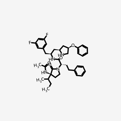 CCC(C)[C@@]1(NC(C)=O)CCN([C@@H](CCc2ccccc2)C(=O)N[C@@H](Cc2cc(F)cc(F)c2)C[C@H]2C[C@@H](Oc3ccccc3)CN2)C1=O